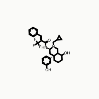 O=C(N[C@@H]1C[C@]2(c3cccc(O)c3)CCCC(O)C2CN1CC1CC1)C(=Cc1ccccc1)C(F)(F)F